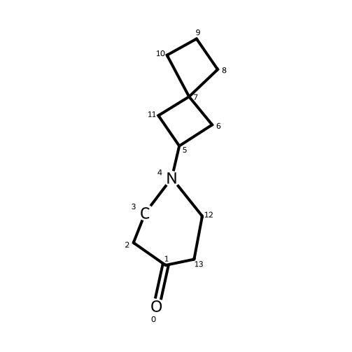 O=C1CCN(C2CC3(CCC3)C2)CC1